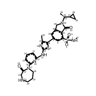 CNS(=O)(=O)c1cc(-c2sc(Nc3cccc(N4CCCNCC4=O)n3)nc2C)cc2c1C(=O)N([C@@H](C)C1CC1)C2